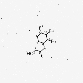 CC(CO)CC1CCC(F)C(F)C1F